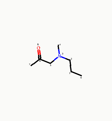 CCCN(C)CC(C)=O